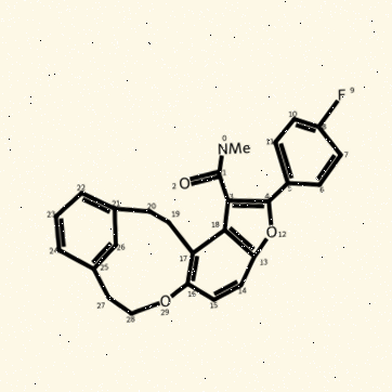 CNC(=O)c1c(-c2ccc(F)cc2)oc2ccc3c(c12)CCc1cccc(c1)CCO3